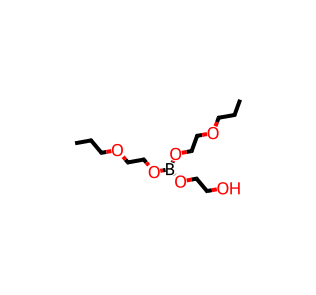 CCCOCCOB(OCCO)OCCOCCC